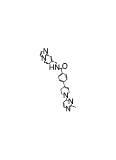 Cc1nccc(N2CC=C(c3ccc(C(=O)NCc4ccn5ccnc5c4)cc3)CC2)n1